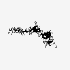 CC(F)(F)C(=O)OC1C2CC3CC1CC(C(=O)OC1C4CC5C1OC(=O)C5C4C(=O)OCCCO[Si](C)(C)C(C)(C)C)(C3)C2